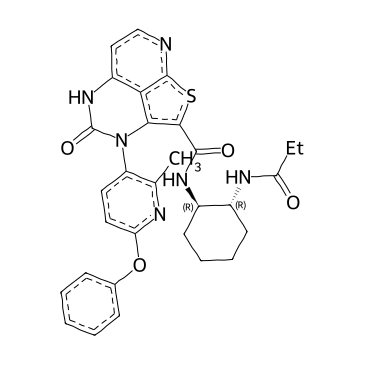 CCC(=O)N[C@@H]1CCCC[C@H]1NC(=O)c1sc2nccc3c2c1N(c1ccc(Oc2ccccc2)nc1C)C(=O)N3